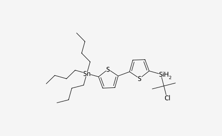 CCC[CH2][Sn]([CH2]CCC)([CH2]CCC)[c]1ccc(-c2ccc([SiH2]C(C)(C)Cl)s2)s1